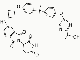 CC(O)c1ncc(Oc2ccc(C(C)(C)c3ccc(O[C@H]4C[C@@H](Nc5ccc6c(c5)C(=O)N(C5CCC(=O)NC5=O)C6=O)C4)cc3)cc2)cn1